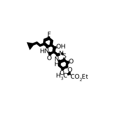 CCOC(=O)[C@@H](C)OC1C(=O)CC2=C(SN=C(c3c(O)c4cc(F)cc(CCC5CC5)c4[nH]c3=O)N2)C1=O